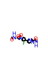 CNC(=O)c1cn2cc(-c3ccc(N4C[C@H](CNC(C)=O)OC4=O)cc3F)ccc2n1